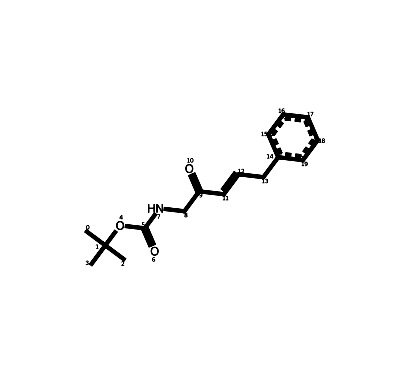 CC(C)(C)OC(=O)NCC(=O)C=CCc1ccccc1